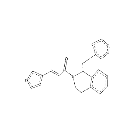 O=C(C=Cc1ccoc1)N1CCc2ccccc2C1Cc1ccccc1